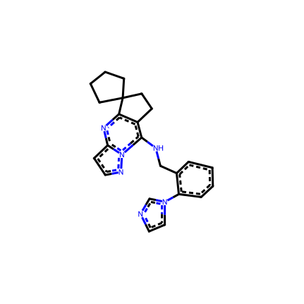 c1ccc(-n2ccnc2)c(CNc2c3c(nc4ccnn24)C2(CCCC2)CC3)c1